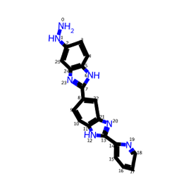 NNc1ccc2[nH]c(-c3ccc4[nH]c(-c5ccccn5)nc4c3)nc2c1